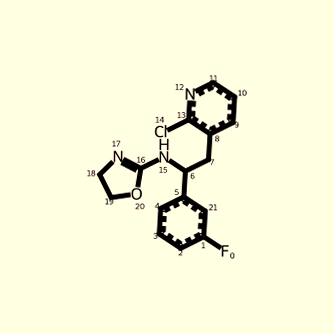 Fc1cccc(C(Cc2cccnc2Cl)NC2=NCCO2)c1